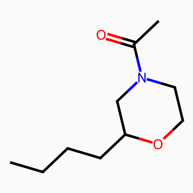 CCCCC1CN(C(C)=O)CCO1